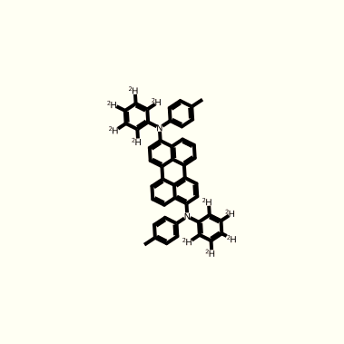 [2H]c1c([2H])c([2H])c(N(c2ccc(C)cc2)c2ccc3c4cccc5c(N(c6ccc(C)cc6)c6c([2H])c([2H])c([2H])c([2H])c6[2H])ccc(c6cccc2c63)c54)c([2H])c1[2H]